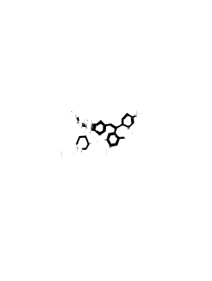 CN1CC[C@H](n2/c(=N/C#N)[nH]c3cc(/C=C4\c5ccc(F)cc5COC5C=C(F)C=CC45)ccc32)[C@@H](O)C1